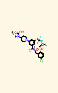 CCS(=O)(=O)c1ccc(Cl)cc1CNC(=O)c1cc(OC(F)(F)F)cc(N2CCC(NC(C)O)CC2)c1